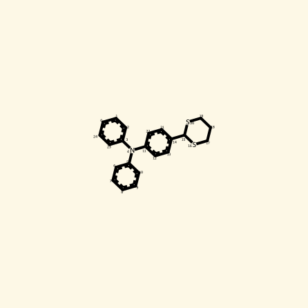 c1ccc(N(c2ccccc2)c2ccc(C3SCCCS3)cc2)cc1